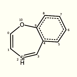 C1=C[SiH]=Cc2ccccc2O1